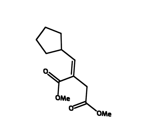 COC(=O)CC(=CC1CCCC1)C(=O)OC